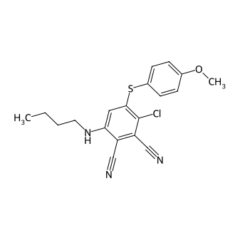 CCCCNc1cc(Sc2ccc(OC)cc2)c(Cl)c(C#N)c1C#N